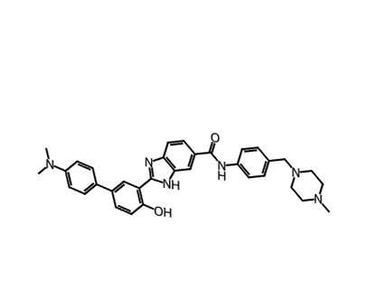 CN1CCN(Cc2ccc(NC(=O)c3ccc4nc(-c5cc(-c6ccc(N(C)C)cc6)ccc5O)[nH]c4c3)cc2)CC1